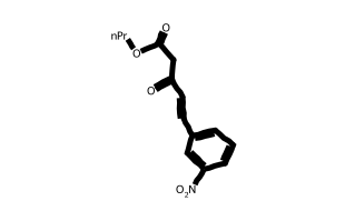 CCCOC(=O)CC(=O)C=Cc1cccc([N+](=O)[O-])c1